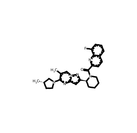 Cc1cn2nc([C@@H]3CCCCN3C(=O)c3ccc4cccc(F)c4n3)cc2nc1N1CC[C@H](C)C1